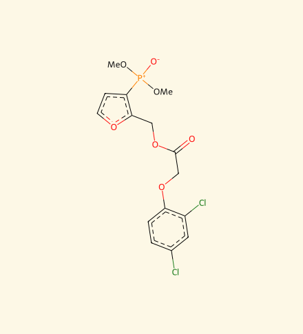 CO[P+]([O-])(OC)c1ccoc1COC(=O)COc1ccc(Cl)cc1Cl